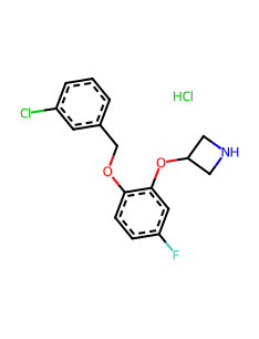 Cl.Fc1ccc(OCc2cccc(Cl)c2)c(OC2CNC2)c1